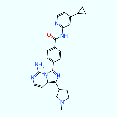 CN1CCC(c2nc(-c3ccc(C(=O)Nc4cc(C5CC5)ccn4)cc3)n3c(N)nccc23)C1